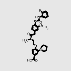 COc1cc(CC(=O)N(C)CCOc2ccc(C(=O)O)cc2N2CCCCC2)ccc1NC(=O)Nc1ccccc1F